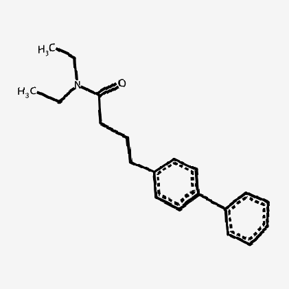 CCN(CC)C(=O)CCCc1ccc(-c2ccccc2)cc1